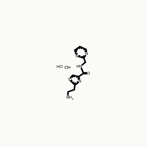 Cl.Cl.NCCc1nc(C(=O)NCc2ncccn2)cs1